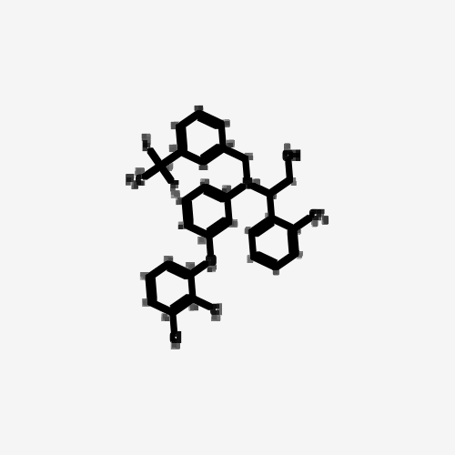 OCC(c1ccccc1C(F)(F)F)N(Cc1cccc(C(F)(F)C(F)(F)F)c1)c1cccc(Oc2cccc(Cl)c2Cl)c1